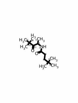 CC(NC(=O)CCC(C)(C)C)C(=O)C(C)(C)C